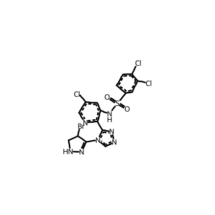 O=S(=O)(Nc1cc(Cl)cnc1-c1nncn1C1=NNCC1Br)c1ccc(Cl)c(Cl)c1